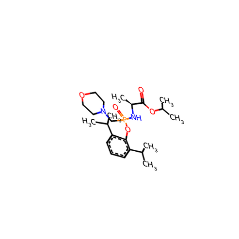 CC(C)OC(=O)[C@H](C)NP(=O)(CN1CCOCC1)Oc1c(C(C)C)cccc1C(C)C